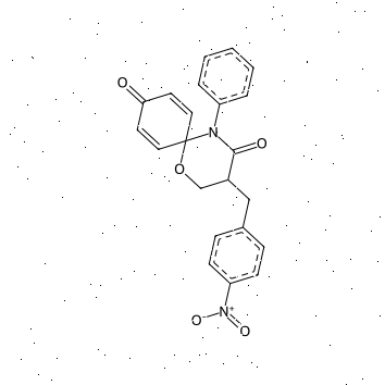 O=C1C=CC2(C=C1)OCC(Cc1ccc([N+](=O)[O-])cc1)C(=O)N2c1ccccc1